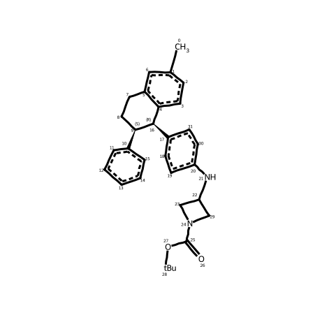 Cc1ccc2c(c1)CC[C@H](c1ccccc1)[C@@H]2c1ccc(NC2CN(C(=O)OC(C)(C)C)C2)cc1